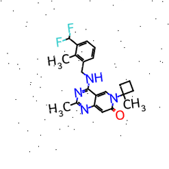 Cc1nc(NCc2cccc(C(F)F)c2C)c2cn(C3(C)CCC3)c(=O)cc2n1